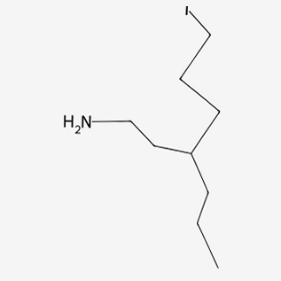 CCCC(CCN)CCCI